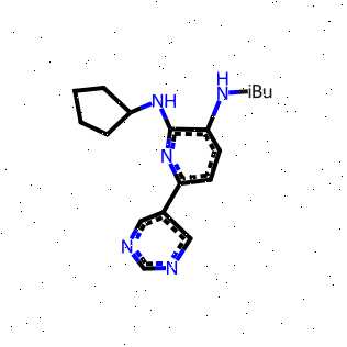 CCC(C)Nc1ccc(-c2cncnc2)nc1NC1CCCC1